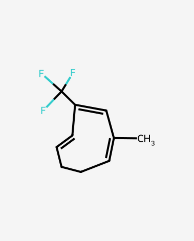 CC1=C/CC/C=C/C(C(F)(F)F)=C\1